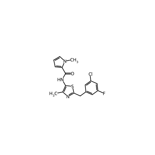 Cc1nc(Cc2cc(F)cc(Cl)c2)sc1NC(=O)c1cccn1C